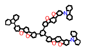 C1=CC2=C(CC1)C(c1ccc3oc4c(ccc5c6cc(-c7cc(-c8ccc9oc%10c(ccc%11c%12cc(-n%13c%14c(c%15ccccc%15%13)CCC=C%14)ccc%12oc%11%10)c9c8)cc(-c8ccc9oc%10c(ccc%11c%12cc(-n%13c%14ccccc%14c%14ccccc%14%13)ccc%12oc%11%10)c9c8)c7)ccc6oc54)c3c1)c1ccccc12